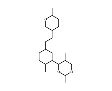 CC1CCC(CCC2CCC(C)C(C3OC(C)OCC3C)C2)CO1